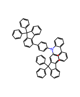 c1ccc(-c2ccccc2N(c2ccc(-c3cccc4c3-c3ccccc3C4(c3ccccc3)c3ccccc3)cc2)c2ccc3c(c2)C(c2ccccc2)(c2ccccc2)c2ccccc2-3)cc1